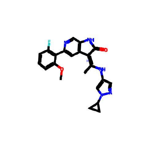 COc1cccc(F)c1-c1cc2c(cn1)NC(=O)/C2=C(/C)Nc1cnn(C2CC2)c1